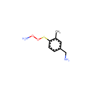 Cc1cc(CN)ccc1SOON